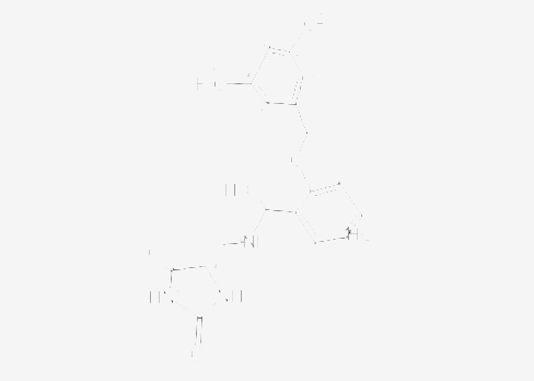 CC(NC[C@@H]1NC(=O)NC1=O)c1ccccc1OCc1cc(C(F)(F)F)cc(C(F)(F)F)c1.Cl